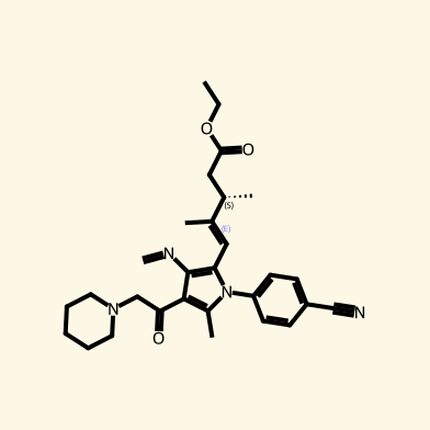 C=Nc1c(C(=O)CN2CCCCC2)c(C)n(-c2ccc(C#N)cc2)c1/C=C(\C)[C@@H](C)CC(=O)OCC